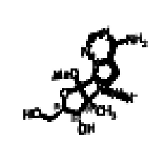 COC1(c2ccc3c(N)ncnn23)O[C@H](CO)[C@@H](O)[C@@]1(C)N=[N+]=[N-]